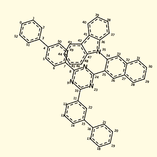 c1ccc(-c2ccc(-c3nc(-c4cccc(-c5ccccc5)c4)nc(-c4cc5ccccc5cc4-n4c5ccccc5c5ccccc54)n3)cc2)cc1